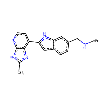 CCCNCc1ccc2cc(-c3ccnc4[nH]c(C)nc34)[nH]c2c1